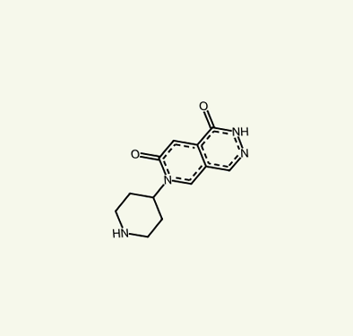 O=c1[nH]ncc2cn(C3CCNCC3)c(=O)cc12